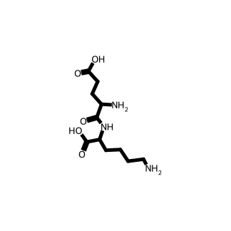 NCCCCC(NC(=O)C(N)CCC(=O)O)C(=O)O